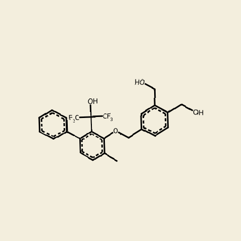 Cc1ccc(-c2ccccc2)c(C(O)(C(F)(F)F)C(F)(F)F)c1OCc1ccc(CO)c(CO)c1